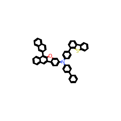 c1ccc(-c2ccc(N(c3ccc(-c4cccc5c4sc4ccccc45)cc3)c3ccc4c(c3)oc3c(-c5ccc6ccccc6c5)c5ccccc5cc34)cc2)cc1